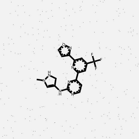 CN1C=C(Nc2nccc(-c3cc(C(F)(F)F)cc(-c4ccon4)n3)n2)CN1